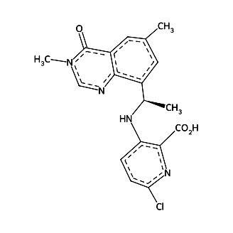 Cc1cc([C@@H](C)Nc2ccc(Cl)nc2C(=O)O)c2ncn(C)c(=O)c2c1